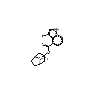 CN1C2CCC1CC(OC(=O)c1cccc3[nH]cc(I)c13)C2